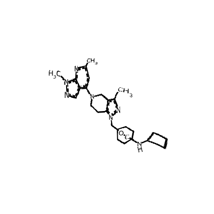 Cc1cc(N2CCc3c(c(C)nn3CC34CCC(NC5CCC5)(CC3)CO4)C2)c2cnn(C)c2n1